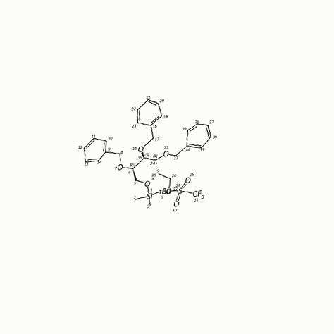 CC(C)(C)[Si](C)(C)OC[C@@H](OCc1ccccc1)[C@@H](OCc1ccccc1)[C@@H](CCOS(=O)(=O)C(F)(F)F)OCc1ccccc1